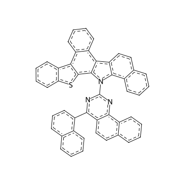 c1ccc2c(-c3nc(-n4c5c6ccccc6ccc5c5c6ccccc6c6c7ccccc7sc6c54)nc4c3ccc3ccccc34)cccc2c1